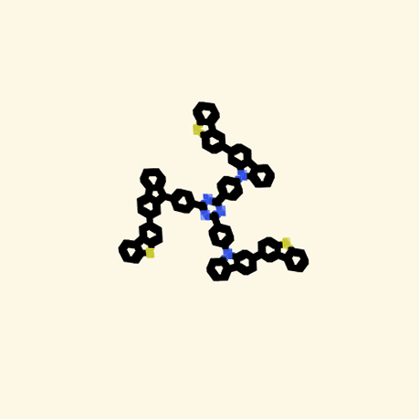 c1ccc2c(c1)-c1ccc(-c3ccc4sc5ccccc5c4c3)cc1C2c1ccc(-c2nc(-c3ccc(-n4c5ccccc5c5ccc(-c6ccc7sc8ccccc8c7c6)cc54)cc3)nc(-c3ccc(-n4c5ccccc5c5ccc(-c6ccc7sc8ccccc8c7c6)cc54)cc3)n2)cc1